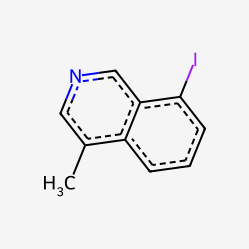 Cc1cncc2c(I)cccc12